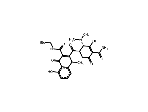 CC1C(C(=O)[C@@H]2CC(=O)C(C(N)=O)=C(O)[C@H]2N(C)C)=C(C(=O)NCC(C)(C)C)C(=O)c2c(O)cccc21